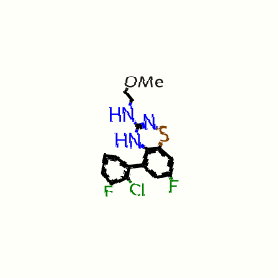 COCCNC1=NSc2cc(F)cc(-c3cccc(F)c3Cl)c2N1